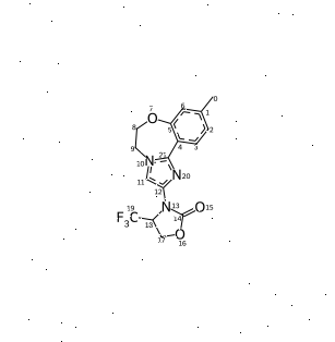 Cc1ccc2c(c1)OCCn1cc(N3C(=O)OCC3C(F)(F)F)nc1-2